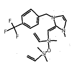 C=C[Si](C)(C)O[Si](C)(C=C)C=C1N(C)C=CN1Cc1ccc(C(F)(F)F)cc1